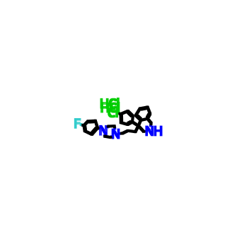 Cl.Cl.Fc1ccc(N2CCN(CCCC3(c4ccc(Cl)cc4)CNCc4ccccc43)CC2)cc1